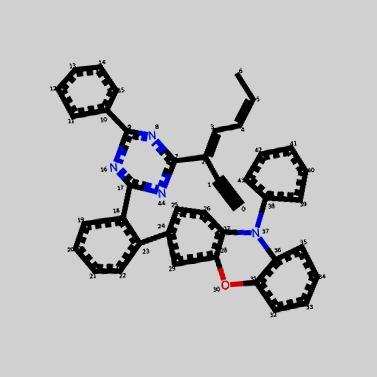 C#C/C(=C\C=C/C)c1nc(-c2ccccc2)nc(-c2ccccc2-c2ccc3c(c2)Oc2ccccc2N3c2ccccc2)n1